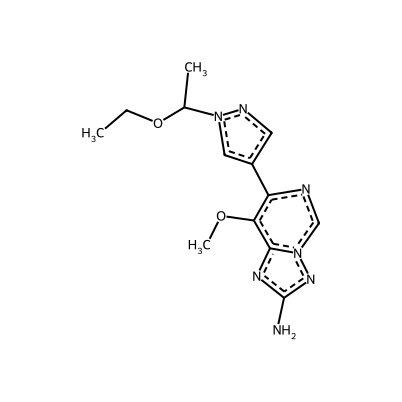 CCOC(C)n1cc(-c2ncn3nc(N)nc3c2OC)cn1